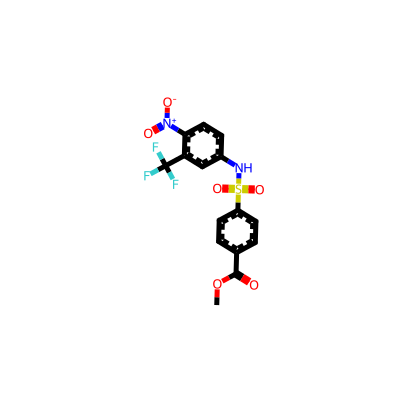 COC(=O)c1ccc(S(=O)(=O)Nc2ccc([N+](=O)[O-])c(C(F)(F)F)c2)cc1